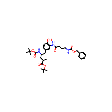 CC(C[C@H](Cc1ccc(O)c(NC(=O)CCCNC(=O)OCc2ccccc2)c1)NC(=O)OC(C)(C)C)C(=O)OC(C)(C)C